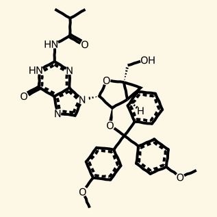 COc1ccc(C(O[C@H]2[C@H](n3cnc4c(=O)[nH]c(NC(=O)C(C)C)nc43)O[C@@]3(CO)C[C@@H]23)(c2ccccc2)c2ccc(OC)cc2)cc1